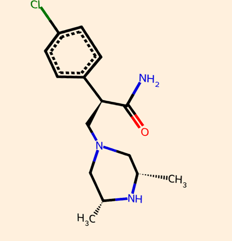 C[C@@H]1CN(C[C@H](C(N)=O)c2ccc(Cl)cc2)C[C@H](C)N1